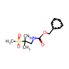 CC(C#N)(CNC(=O)OCc1ccccc1)S(C)(=O)=O